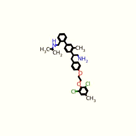 C=C(C)NCc1ccccc1-c1ccc(C(CN)Cc2ccc(OCCOc3c(Cl)cc(C)cc3Cl)cc2)c(C)c1